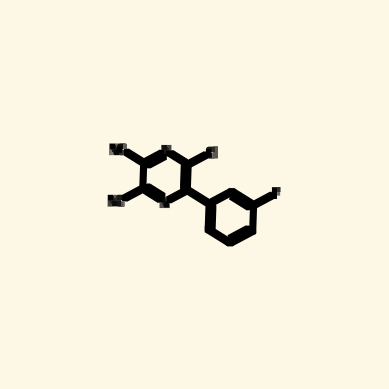 N#Cc1nc(Cl)c(-c2cccc(F)c2)nc1C#N